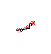 C=CC(=O)Oc1ccc(-c2ccc(C3CCC(c4ccc(OC(=O)C=C)cc4)CC3)o2)cc1